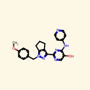 COc1ccc(Cn2nc(-c3ncc(O)c(Nc4ccncc4)n3)c3c2CCC3)cc1